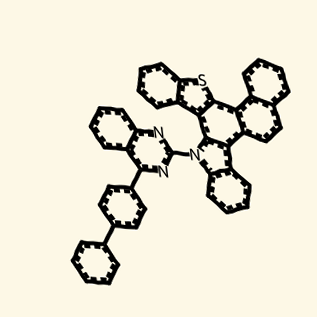 c1ccc(-c2ccc(-c3nc(-n4c5ccccc5c5c6ccc7ccccc7c6c6sc7ccccc7c6c54)nc4ccccc34)cc2)cc1